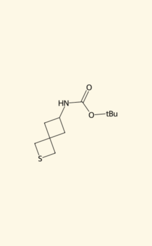 CC(C)(C)OC(=O)NC1CC2(CSC2)C1